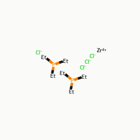 CCP(CC)CC.CCP(CC)CC.[Cl-].[Cl-].[Cl-].[Cl-].[Zr+4]